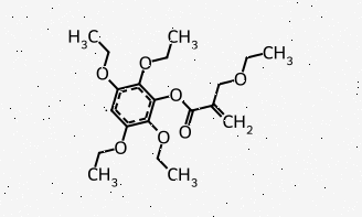 C=C(COCC)C(=O)Oc1c(OCC)c(OCC)[c]c(OCC)c1OCC